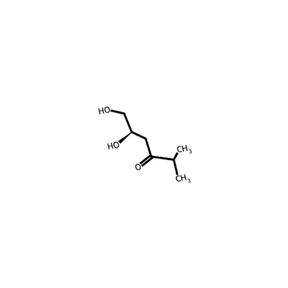 CC(C)C(=O)C[C@@H](O)CO